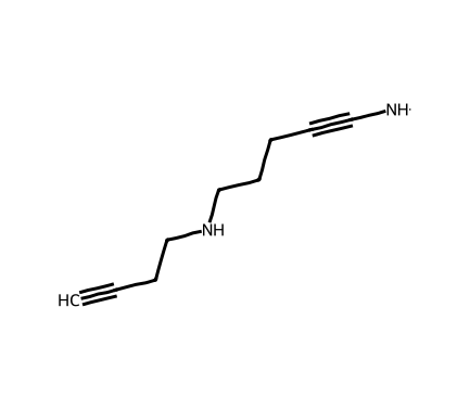 C#CCCNCCCC#C[NH]